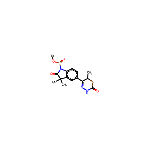 CCOS(=O)N1C(=O)C(C)(C)c2cc(C3=NNC(=O)SC3C)ccc21